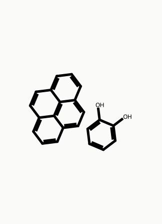 Oc1ccccc1O.c1cc2ccc3cccc4ccc(c1)c2c34